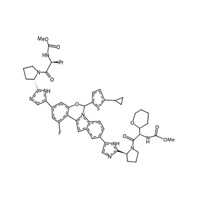 COC(=O)NC(C(=O)N1CCC[C@H]1c1ncc(-c2ccc3c(c2)cc2n3C(c3ccc(C4CC4)s3)Oc3cc(-c4cnc([C@@H]5CCCN5C(=O)[C@@H](NC(=O)OC)C(C)C)[nH]4)cc(F)c3-2)[nH]1)C1CCCCO1